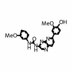 COc1cccc(NC(=O)Nc2cnc3ccc(-c4ccc(O)c(OC)c4)nc3n2)c1